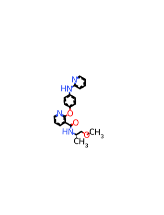 COC[C@H](C)NC(=O)c1cccnc1Oc1ccc(Nc2ccccn2)cc1